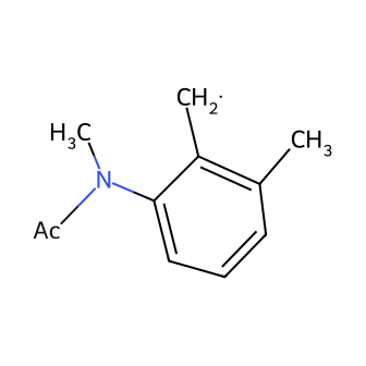 [CH2]c1c(C)cccc1N(C)C(C)=O